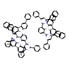 Cc1ccc2c(c1)c1cc(C)ccc1n2-c1c(-c2cc(-c3ccccc3)nc(-c3ccccc3)n2)ccc(-n2c3ccc(-c4ccccc4)cc3c3cc(-c4ccccc4)ccc32)c1-c1cc(-c2ccccc2)nc(-c2ccccc2)n1.c1ccc(-c2ccc3c(c2)c2cc(-c4ccccc4)ccc2n3-c2c(-c3nc(-c4ccccc4)cc(-c4ccccc4)n3)cccc2-c2nc(-c3ccccc3)cc(-c3ccccc3)n2)cc1